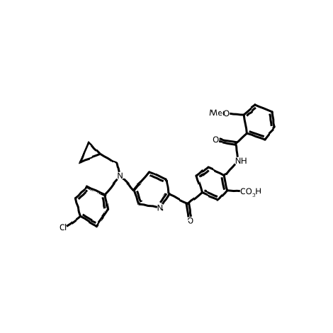 COc1ccccc1C(=O)Nc1ccc(C(=O)c2ccc(N(CC3CC3)c3ccc(Cl)cc3)cn2)cc1C(=O)O